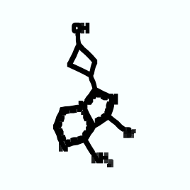 Nc1nccn2c(C3CC(O)C3)nc(Br)c12